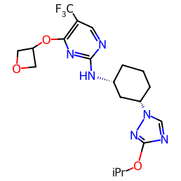 CC(C)Oc1ncn([C@H]2CCC[C@@H](Nc3ncc(C(F)(F)F)c(OC4COC4)n3)C2)n1